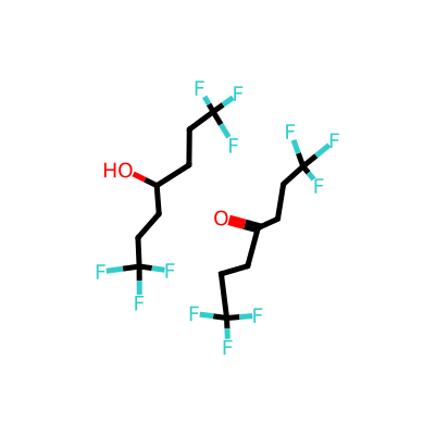 O=C(CCC(F)(F)F)CCC(F)(F)F.OC(CCC(F)(F)F)CCC(F)(F)F